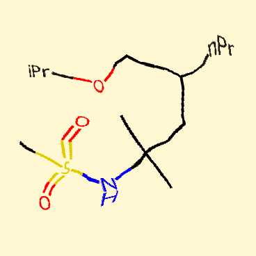 CCCC(COC(C)C)CC(C)(C)NS(C)(=O)=O